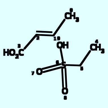 CC=CC(=O)O.CCS(=O)(=O)O